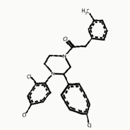 Cc1cccc(CC(=O)N2CCN(c3ccc(Cl)cc3Cl)C(c3ccc(Cl)cc3)C2)c1